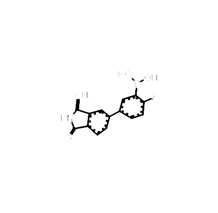 C=C1NC(=O)c2ccc(-c3ccc(F)c(B(O)O)c3)cc21